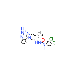 CCCCc1nc2c(N)nc3ccccc3c2n1CCCCNC(=O)Nc1ccc(Cl)c(Cl)c1